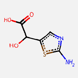 Nc1ncc(C(O)C(=O)O)s1